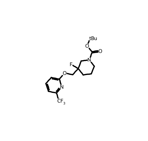 CC(C)(C)OC(=O)N1CCCC(F)(COc2cccc(C(F)(F)F)n2)C1